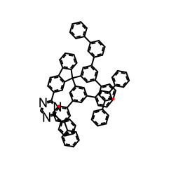 c1ccc(-c2cccc(-c3cc(-c4cccc(-c5ccccc5)c4)cc(C4(c5cc(-c6cccc(-c7ccccc7)c6)cc(-c6cccc(-c7ccccc7)c6)c5)c5ccccc5-c5ccc(-c6ncnc(-c7ccccc7)n6)cc54)c3)c2)cc1